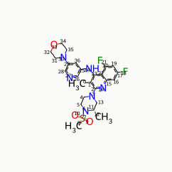 Cc1c(N2CCN(S(C)(=O)=O)[C@@H](C)C2)nc2cc(F)cc(F)c2c1Nc1cncc(N2CCOCC2)c1